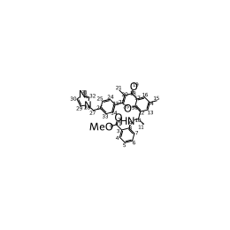 COC(=O)c1ccccc1N[C@H](C)c1cc(C)cc2c(=O)c(C)c(-c3ccc(Cn4ccnc4)cc3)oc12